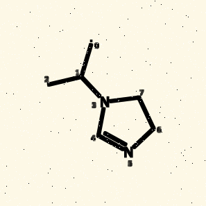 [CH2]C(C)N1C=NCC1